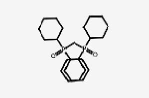 O=P(CP(=O)(C1CCCCC1)C1CCCCC1)(C1CCCCC1)C1CCCCC1